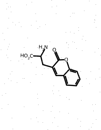 NC(Cc1cc2ccccc2oc1=O)C(=O)O